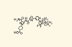 CC(C)(C)OC(=O)N(CC(F)(F)F)c1cc(-c2nc(C(=O)Nc3cn(C4CCC(C(=O)O)CC4)nc3C(N)=O)co2)ccn1